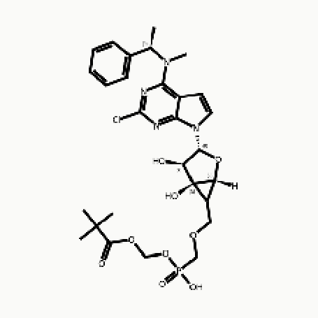 C[C@H](c1ccccc1)N(C)c1nc(Cl)nc2c1ccn2[C@@H]1O[C@@H]2C(COCP(=O)(O)OCOC(=O)C(C)(C)C)[C@]2(O)[C@H]1O